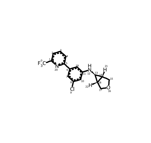 FC(F)(F)c1cccc(-c2cc(Cl)cc(N[C@H]3[C@@H]4COC[C@@H]43)c2)n1